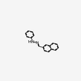 C(=NNc1ccccc1)c1ccc2ccccc2c1